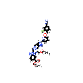 COCCn1c(CN2Cc3cn(-c4cccc(OCc5ccc(C#N)cc5F)n4)nc3C2)nc2ccc(C(=O)OC)cc21